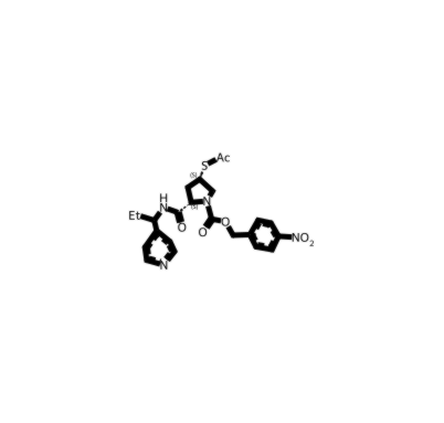 CCC(NC(=O)[C@@H]1C[C@H](SC(C)=O)CN1C(=O)OCc1ccc([N+](=O)[O-])cc1)c1ccncc1